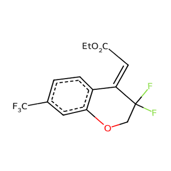 CCOC(=O)/C=C1\c2ccc(C(F)(F)F)cc2OCC1(F)F